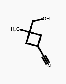 CC1(CO)CC(C#N)C1